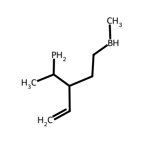 C=CC(CCBC)C(C)P